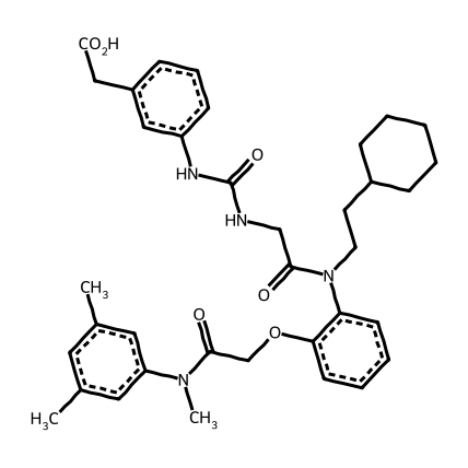 Cc1cc(C)cc(N(C)C(=O)COc2ccccc2N(CCC2CCCCC2)C(=O)CNC(=O)Nc2cccc(CC(=O)O)c2)c1